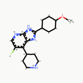 COC1CCC(c2nc3c(C4CCNCC4)c(F)cnc3[nH]2)CC1